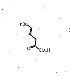 CCCCC=CCC(=O)C(=O)O